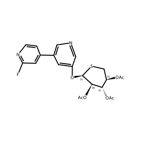 CC(=O)O[C@@H]1[C@@H](OC(C)=O)[C@@H](Oc2cncc(-c3ccnc(F)c3)c2)SC[C@H]1OC(C)=O